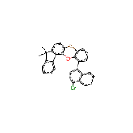 CC1(C)c2ccccc2-c2c1ccc1c2Oc2c(cccc2-c2ccc(Br)c3ccccc23)S1